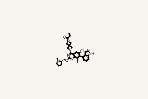 C=CC(=O)N1CC2(C1)CN(c1nc(OC[C@@H]3CCCN3C)nc3c(F)c(-c4cccc5[nH]ncc45)c(Cl)cc13)C2